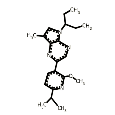 CCC(CC)n1cc(C)c2nc(-c3ccc(C(C)C)nc3OC)cnc21